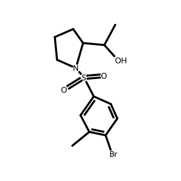 Cc1cc(S(=O)(=O)N2CCCC2C(C)O)ccc1Br